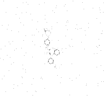 NCc1cccc(N(NC(=O)Nc2ccc(N3CCNC(=O)C3)cc2)c2ccccc2)c1